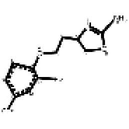 NC1=NC(CCOc2ccc(Cl)cc2F)CO1